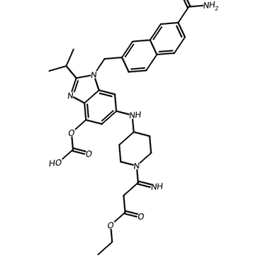 CCOC(=O)CC(=N)N1CCC(Nc2cc(OC(=O)O)c3nc(C(C)C)n(Cc4ccc5ccc(C(=N)N)cc5c4)c3c2)CC1